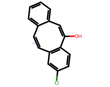 OC1=Cc2ccccc2/C=C\c2cc(Cl)ccc21